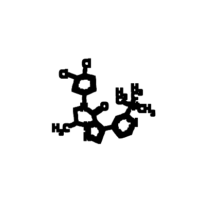 CC1CN(c2ccc(Cl)c(Cl)c2)C(=O)c2c(-c3ccnc([N+](C)(C)C)c3)cnn21